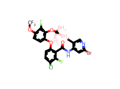 BC(B)(B)Oc1c(Oc2ccc(Cl)c(F)c2C(=O)Nc2cc(Br)ncc2C)ccc(OC(F)(F)F)c1F